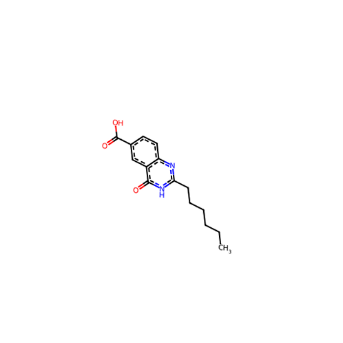 CCCCCCc1nc2ccc(C(=O)O)cc2c(=O)[nH]1